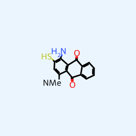 CNc1cc(S)c(N)c2c1C(=O)c1ccccc1C2=O